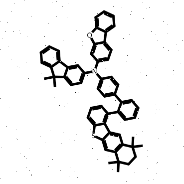 CC1(C)CCC(C)(C)c2cc3c(cc21)sc1cccc(-c2ccccc2-c2ccc(N(c4ccc5c(c4)-c4ccccc4C5(C)C)c4ccc5c(c4)oc4ccccc45)cc2)c13